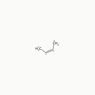 [CH2]/C=C\C